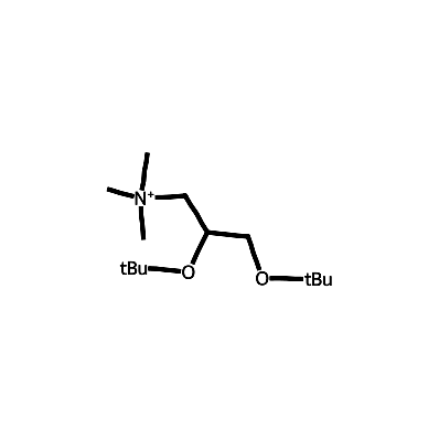 CC(C)(C)OCC(C[N+](C)(C)C)OC(C)(C)C